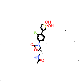 CC(=O)NC[C@H]1CN(c2ccc(C3=CCS(O)(O)C3)c(F)c2)C(=O)O1